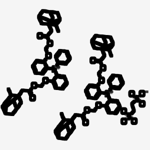 CC1C2CC3CC(C2)CC1(CC(=O)OCOc1ccccc1[S+](c1ccccc1)c1ccccc1OCOC(=O)CC12CC4CC(CC(C4)C1C)C2)C3.CC1C2CC3CC(C2)CC1(CC(=O)OCOc1ccccc1[S+](c1ccccc1)c1ccccc1OCOC(=O)CC12CC4CC(CC(C4)C1C)C2)C3.O=S(=O)([O-])CCS(=O)(=O)[O-]